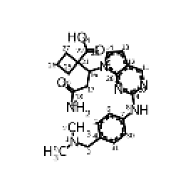 CN(C)Cc1ccc(Nc2ncc3ccn(C(CC(N)=O)C4(C(=O)O)CCC4)c3n2)cc1